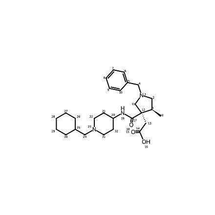 C[C@@H]1CN(Cc2ccccc2)C[C@]1(CC(=O)O)C(=O)NC1CCN(CC2CCCCC2)CC1